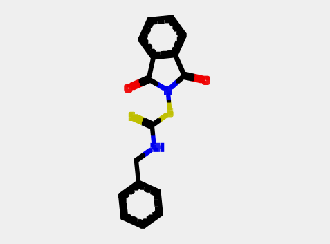 O=C1c2ccccc2C(=O)N1SC(=S)NCc1ccccc1